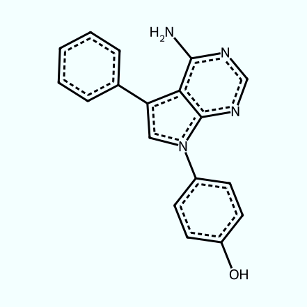 Nc1ncnc2c1c(-c1ccccc1)cn2-c1ccc(O)cc1